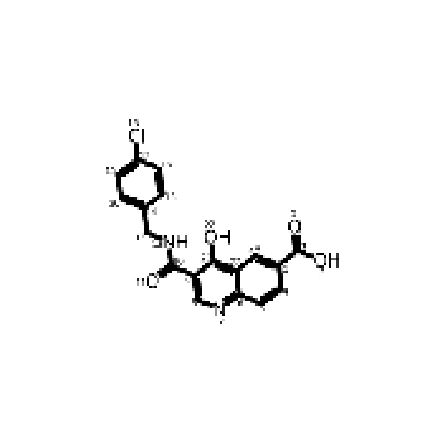 O=C(O)c1ccc2ncc(C(=O)NCc3ccc(Cl)cc3)c(O)c2c1